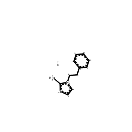 Nc1scc[n+]1CCc1ccccc1.[I-]